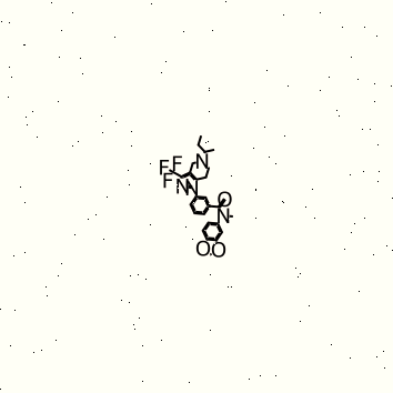 CCC(C)N1CCc2c(c(C(F)(F)F)nn2-c2cccc(C(=O)N(C)c3ccc4c(c3)OCO4)c2)C1